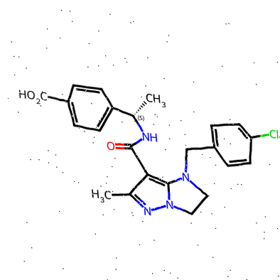 Cc1nn2c(c1C(=O)N[C@@H](C)c1ccc(C(=O)O)cc1)N(Cc1ccc(Cl)cc1)CC2